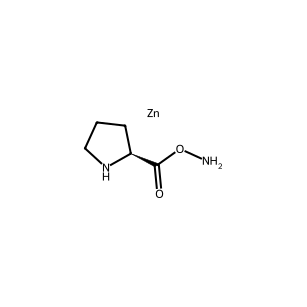 NOC(=O)[C@@H]1CCCN1.[Zn]